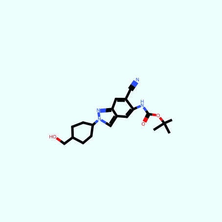 CC(C)(C)OC(=O)Nc1cc2cn(C3CCC(CO)CC3)nc2cc1C#N